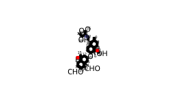 C=C1CC[C@@H]2[C@](C)(CO)[C@H](OC3CC(C)(C)[C@@H]4CC=C(C=O)[C@H](C=O)[C@@]4(C)C3)CC[C@@]2(C)[C@@H]1C/C=C1/C(=O)OC[C@H]1O